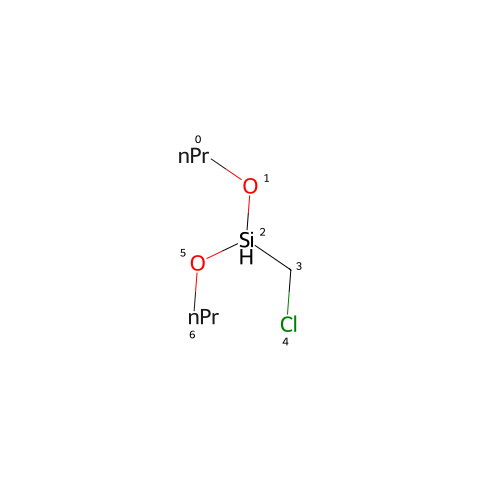 CCCO[SiH](CCl)OCCC